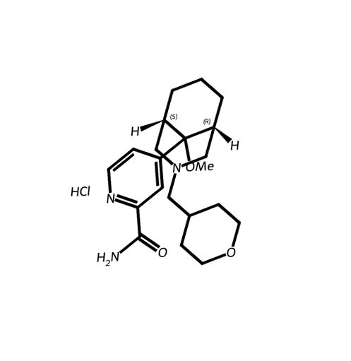 COC1(c2ccnc(C(N)=O)c2)[C@@H]2CCC[C@H]1CN(CC1CCOCC1)C2.Cl